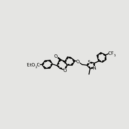 CCOC(=O)c1ccc(-c2coc3cc(OCc4sc(-c5ccc(C(F)(F)F)cc5)nc4C)ccc3c2=O)cc1